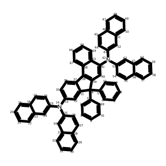 c1ccc(C2(c3ccccc3)c3cc(N(c4ccc5ccccc5c4)c4ccc5ccccc5c4)ccc3-c3c2cc(N(c2ccc4ccccc4c2)c2ccc4ccccc4c2)c2ccccc32)cc1